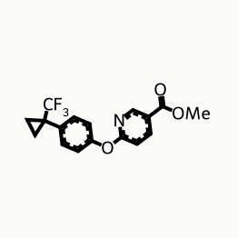 COC(=O)c1ccc(Oc2ccc(C3(C(F)(F)F)CC3)cc2)nc1